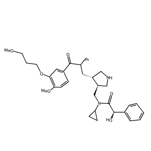 COCCCOc1cc(C(=O)C(C[C@@H]2CNC[C@H]2CN(C(=O)[C@H](O)c2ccccc2)C2CC2)C(C)C)ccc1OC